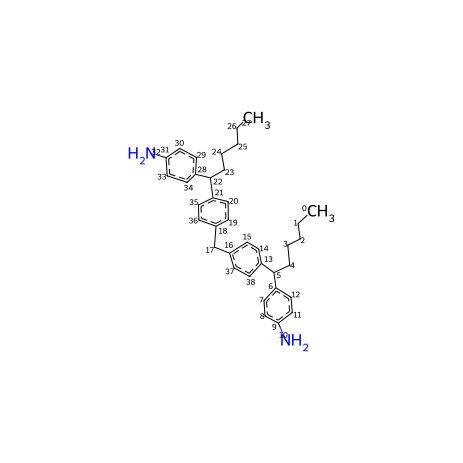 CCCCCC(c1ccc(N)cc1)c1ccc(Cc2ccc(C(CCCCC)c3ccc(N)cc3)cc2)cc1